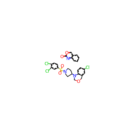 O=S(=O)(c1ccc(Cl)c(Cl)c1)N1CCC(N2COCc3cc(Cl)ccc32)CC1.O=c1nc2ccccc2co1